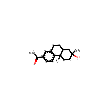 CCC12CCC(C)(O)CC1CCc1cc(C(=O)OC)ccc12